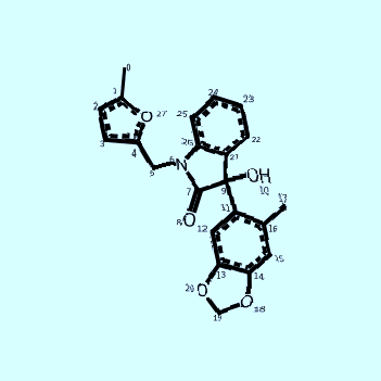 Cc1ccc(CN2C(=O)C(O)(c3cc4c(cc3C)OCO4)c3ccccc32)o1